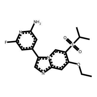 CCOc1cc2ncc(-c3cc(N)nc(F)c3)n2cc1S(=O)(=O)C(C)C